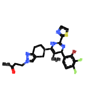 CCOC(=O)C1=C(C2CCc3nn(CCC(=O)OC)cc3C2)NC(c2nccs2)=NC1c1ccc(F)c(F)c1Br